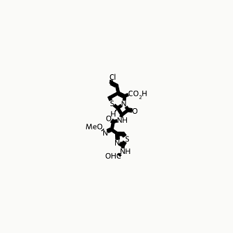 CO/N=C(\C(=O)NC1C(=O)N2C(C(=O)O)=C(/C=C/Cl)CS[C@H]12)c1csc(NC=O)n1